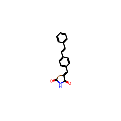 O=C1NC(=O)C(=Cc2ccc(C=Cc3ccccc3)cc2)S1